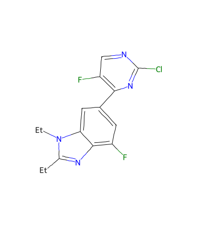 CCc1nc2c(F)cc(-c3nc(Cl)ncc3F)cc2n1CC